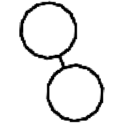 C1CCCCCCC(C2CCCCCCCCCCCCC2)CCCCCC1